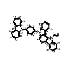 C=CN1c2c(ccc3c2c2ccccc2n3-c2ccc(-n3c4ccccc4c4ccccc43)cc2)C2=CC=CCC21